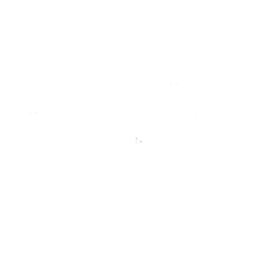 c1cc2c3c(c1)B1c4c(cc5c6c4N3c3c(cccc3B6c3c(ccc4oc6ccccc6c34)O5)S2)Oc2ccc3oc4ccccc4c3c21